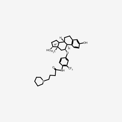 C[C@]12C[C@H](Oc3ccc(NC(=O)CCCN4CCCCC4)c(C(F)(F)F)c3)[C@@H]3c4ccc(O)cc4CC[C@H]3[C@@H]1CC[C@@H]2O